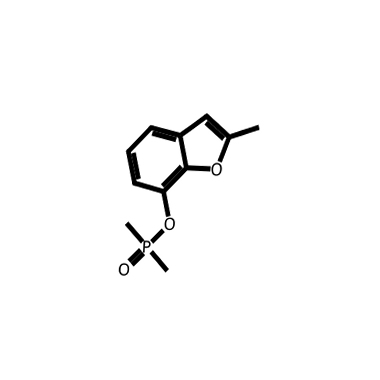 Cc1cc2cccc(OP(C)(C)=O)c2o1